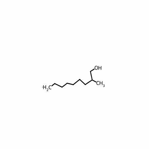 [CH2]CCCCCCC(C)CO